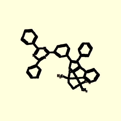 CC1(C)CCC(C)(C)C12c1ccccc1-c1c2sc(-c2cccc(-c3nc(-c4ccccc4)nc(-c4ccccc4)n3)c2)c1-c1ccccc1